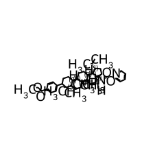 COC(=O)c1ccc(C2CC[C@]3(C)[C@H]4CC[C@@H]5[C@H]6[C@H](C(C)C)CC[C@]6(NC(=O)Oc6ccccn6)CC[C@@]5(C)[C@]4(C)CC[C@H]3C2(C)C)cc1